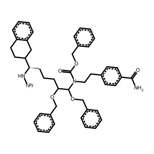 CCCN[C@@H](CCCC(OCc1ccccc1)C(OCc1ccccc1)N(CCc1ccc(C(N)=O)cc1)C(=O)OCc1ccccc1)C1CCc2ccccc2C1